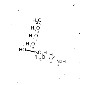 O.O.O.O.O.O.O=S(=O)(O)O.[NaH]